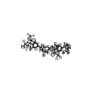 CC(C)OC(=O)C(N)(CC(C)(C)C)c1ccc(-c2nc(CC(C)(C)CC(N)(C(=O)OC(C)C)c3ccc(-c4ncnn4C(F)F)cc3F)n(C(F)F)n2)cc1F